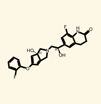 O=C1CCc2cc([C@@H](O)CN3CC4=CC(Oc5ccccc5F)=C[C@@]4(O)C3)cc(F)c2N1